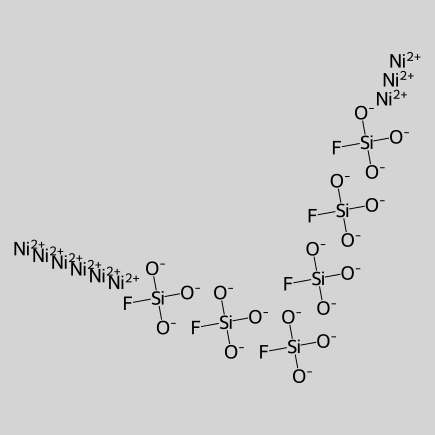 [Ni+2].[Ni+2].[Ni+2].[Ni+2].[Ni+2].[Ni+2].[Ni+2].[Ni+2].[Ni+2].[O-][Si]([O-])([O-])F.[O-][Si]([O-])([O-])F.[O-][Si]([O-])([O-])F.[O-][Si]([O-])([O-])F.[O-][Si]([O-])([O-])F.[O-][Si]([O-])([O-])F